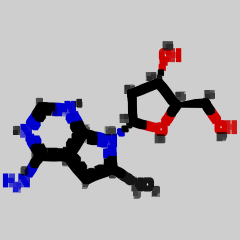 Nc1ncnc2c1cc([N+](=O)[O-])n2[C@@H]1C[C@H](O)[C@@H](CO)O1